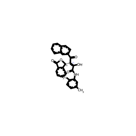 Cc1ccc(C)c(NC(=O)/C(O)=C(/C(=O)c2ccc3ccccc3c2)[C@H]2OC(=O)c3ccccc32)c1